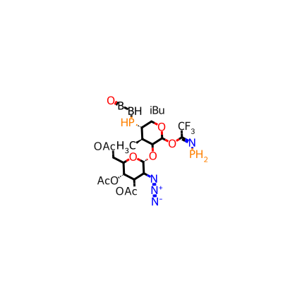 CC[C@H](C)C1OC(O/C(=N\P)C(F)(F)F)C(O[C@H]2OC(COC(C)=O)[C@@H](OC(C)=O)C(OC(C)=O)C2N=[N+]=[N-])[C@@H](C)[C@@H]1PBB=O